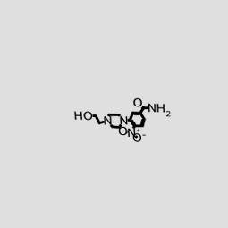 NC(=O)c1ccc([N+](=O)[O-])c(N2CCN(CCO)CC2)c1